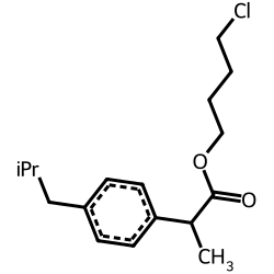 CC(C)Cc1ccc(C(C)C(=O)OCCCCCl)cc1